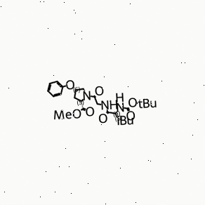 CC[C@H](C)[C@H](NC(=O)OC(C)(C)C)C(=O)NCC(=O)N1C[C@@H](Oc2ccccc2)C[C@H]1C(=O)OC